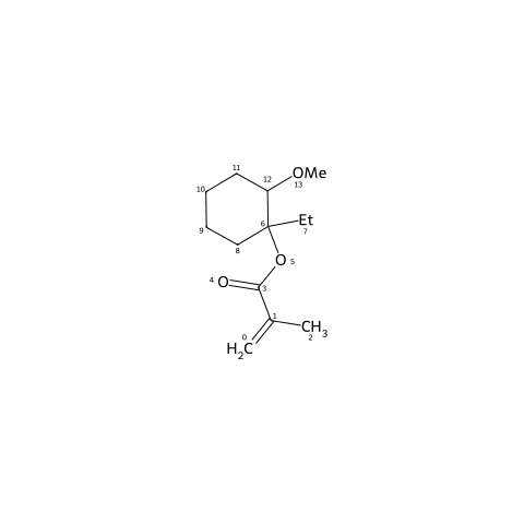 C=C(C)C(=O)OC1(CC)CCCCC1OC